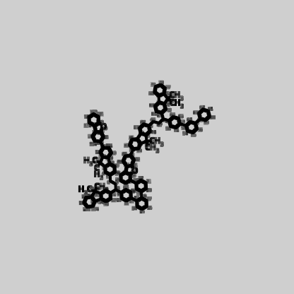 CC1(C)c2cc(CCC(c3ccc(-c4ccccc4-c4cccc(-c5cccc6c5oc5cc(-c7ccc8c(c7)C(C)(C)c7cc(CCC(c9ccc(-c%10cccc(-c%11ccccc%11)c%10)cc9)c9ccc%10c(c9)C(C)(C)c9ccccc9-%10)ccc7-8)ccc56)c4)cc3)c3ccc4c(c3)C(C)(C)c3ccccc3-4)ccc2-c2ccc(-c3ccc4c(c3)oc3ccccc34)cc21